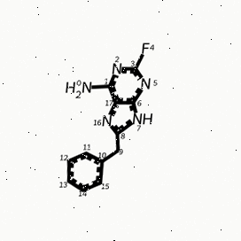 Nc1nc(F)nc2[nH]c(Cc3ccccc3)nc12